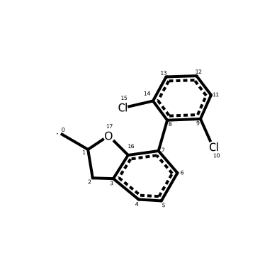 [CH2]C1Cc2cccc(-c3c(Cl)cccc3Cl)c2O1